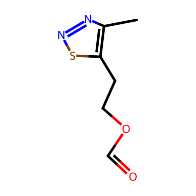 Cc1nnsc1CCOC=O